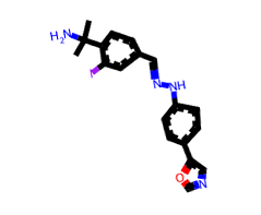 CC(C)(N)c1ccc(/C=N/Nc2ccc(-c3cnco3)cc2)cc1I